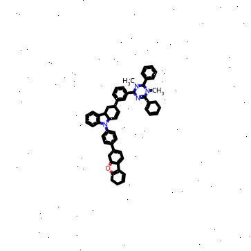 CN1C(C2=CC=CCC2)=NC(c2cccc(C3C=CC4C(C3)c3ccccc3N4c3ccc(C4=CC=C5C6=C(CCC=C6)OC5C4)cc3)c2)N(C)C1c1ccccc1